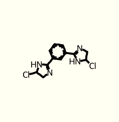 ClC1CN=C(c2cccc(C3=NCC(Cl)N3)c2)N1